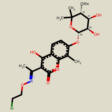 CO[C@@H]1[C@@H](O)[C@@H](O)[C@H](Oc2ccc3c(O)c(/C(C)=N/OCCBr)c(=O)oc3c2C)OC1(C)C